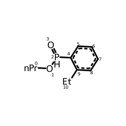 CCCO[PH](=O)c1ccccc1CC